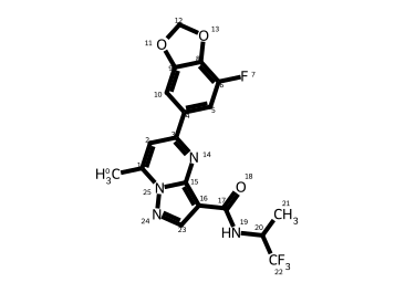 Cc1cc(-c2cc(F)c3c(c2)OCO3)nc2c(C(=O)NC(C)C(F)(F)F)cnn12